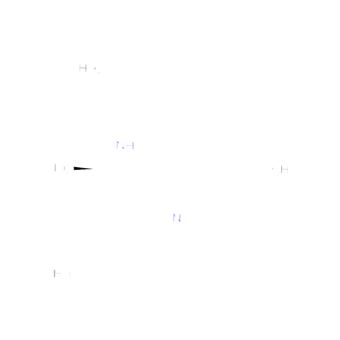 CCCCN(CCCC)CC[C@@H](C)NCCC